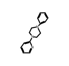 [c]1ccc(N2CCN(c3ccccc3)CC2)nc1